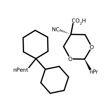 CCCCCC1(C2CCCCC2)CCCCC1.CCC[C@H]1OC[C@@](C#N)(C(=O)O)CO1